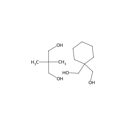 CC(C)(CO)CO.OCC1(CO)CCCCC1